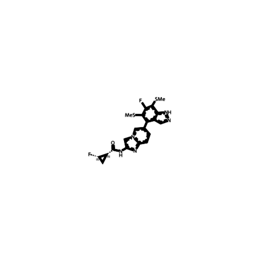 CSc1c(F)c(SC)c2[nH]ncc2c1-c1ccc2nc(NC(=O)[C@@H]3C[C@@H]3F)cn2c1